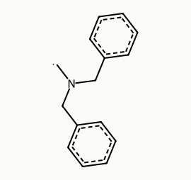 [CH2]N(Cc1ccccc1)Cc1ccccc1